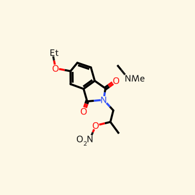 CCOc1ccc2c(c1)C(=O)N(CC(C)O[N+](=O)[O-])C2=O.CNC